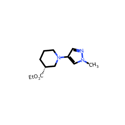 CCOC(=O)[C@@H]1CCCN(c2cnn(C)c2)C1